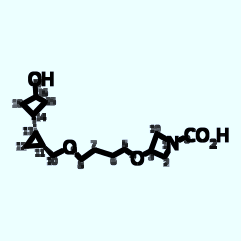 O=C(O)N1CC(OCCCCOC[C@H]2C[C@@H]2C2CC(O)C2)C1